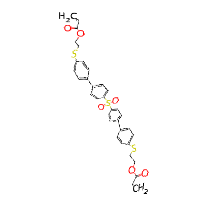 C=CC(=O)OCCSc1ccc(-c2ccc(S(=O)(=O)c3ccc(-c4ccc(SCCOC(=O)C=C)cc4)cc3)cc2)cc1